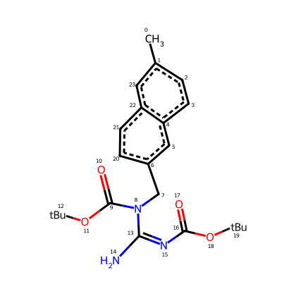 Cc1ccc2cc(CN(C(=O)OC(C)(C)C)/C(N)=N\C(=O)OC(C)(C)C)ccc2c1